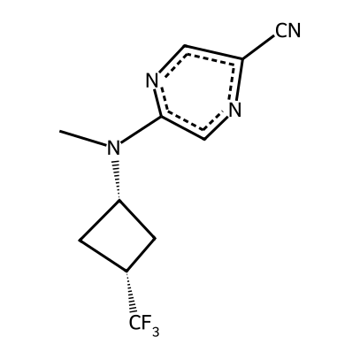 CN(c1cnc(C#N)cn1)[C@H]1C[C@@H](C(F)(F)F)C1